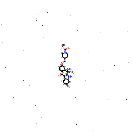 CC(C)(C)OC(=O)N1CCC(COc2ccc3c(c2)C(C)(C)C2=C(C3=O)C3=CC=C(Br)CC3N2)CC1